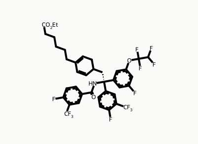 CCOC(=O)CCCCCC1=CCC(C[C@](NC(=O)c2ccc(F)c(C(F)(F)F)c2)(c2cc(F)cc(OC(F)(F)C(F)F)c2)c2ccc(F)c(C(F)(F)F)c2)C=C1